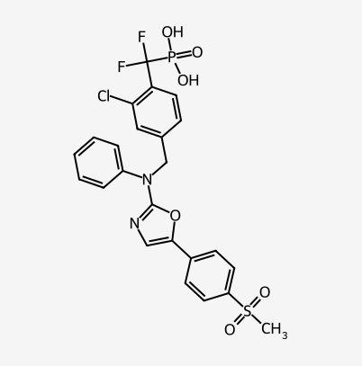 CS(=O)(=O)c1ccc(-c2cnc(N(Cc3ccc(C(F)(F)P(=O)(O)O)c(Cl)c3)c3ccccc3)o2)cc1